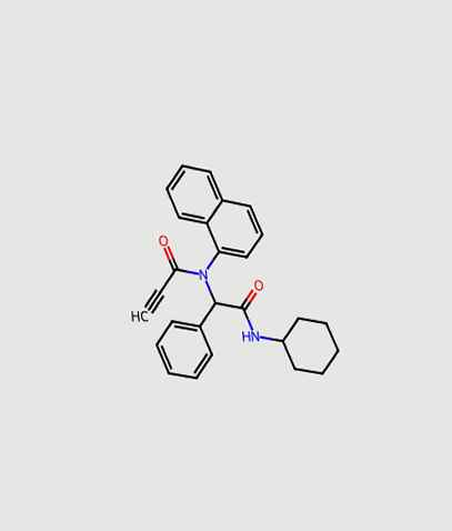 C#CC(=O)N(c1cccc2ccccc12)C(C(=O)NC1CCCCC1)c1ccccc1